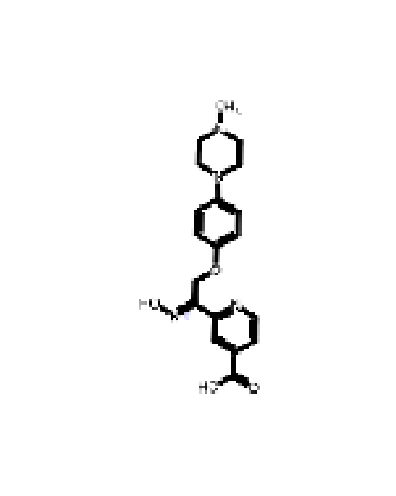 CN1CCN(c2ccc(OC/C(=N\O)c3cc(C(=O)O)ccn3)cc2)CC1